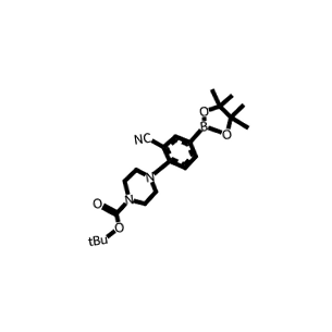 CC(C)(C)OC(=O)N1CCN(c2ccc(B3OC(C)(C)C(C)(C)O3)cc2C#N)CC1